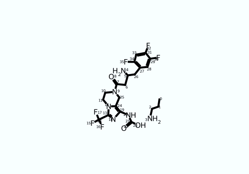 CCCN.NC(CC(=O)N1CCn2c(C(F)(F)F)nc(NC(=O)O)c2C1)Cc1cc(F)c(F)cc1F